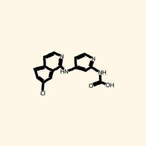 O=C(O)Nc1cc(Nc2nccc3ccc(Cl)cc23)ccn1